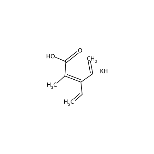 C=CC(C=C)=C(C)C(=O)O.[KH]